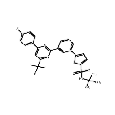 CC(C)(C)NS(=O)(=O)c1ccc(-c2cccc(-c3nc(-c4ccc(F)cc4)cc(C(F)(F)F)n3)c2)s1